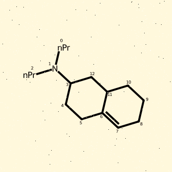 CCCN(CCC)C1CCC2=CCCCC2C1